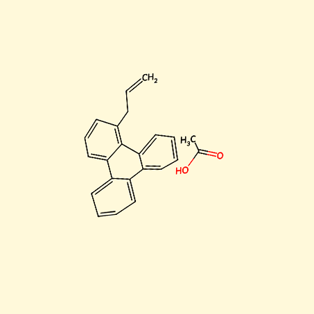 C=CCc1cccc2c3ccccc3c3ccccc3c12.CC(=O)O